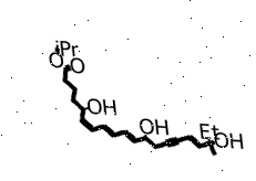 CC[C@@](C)(O)/C=C/C#CC[C@@H](O)/C=C/C=C/C=C\[C@@H](O)CCCC(=O)OC(C)C